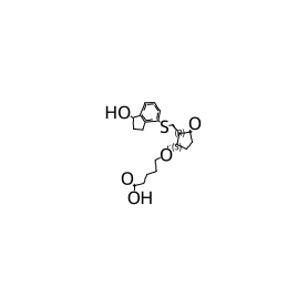 O=C(O)CCCCOC[C@H]1CCC(=O)[C@@H]1CSc1cccc2c1CCC2O